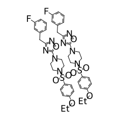 CCOc1ccc(S(=O)(=O)N2CCN(c3nc(Cc4cccc(F)c4)no3)CC2)cc1.CCOc1ccc(S(=O)(=O)N2CCN(c3nc(Cc4cccc(F)c4)no3)CC2)cc1